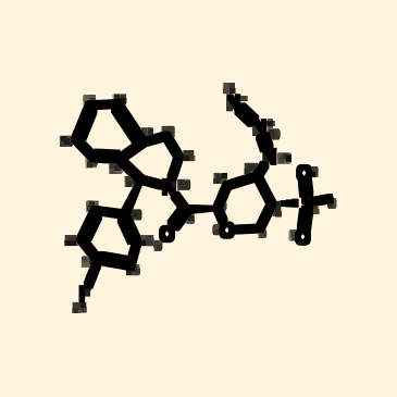 CS(=O)(=O)[C@@H]1CO[C@@H](C(=O)N2CCc3ccccc3[C@@H]2c2ccc(F)cc2)CC1N=[N+]=[N-]